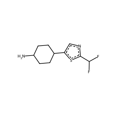 NC1CCC(c2cnc(C(F)F)s2)CC1